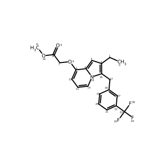 CCc1cc2c(OCC(=O)OC)cccn2c1Cc1cccc(C(F)(F)F)c1